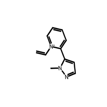 C=C[n+]1ccccc1-c1ccnn1C